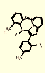 CC(=O)N(c1c(C)cccc1C)c1c(-c2ccc(C)cc2C)nc2cccc(C)n12.Cl